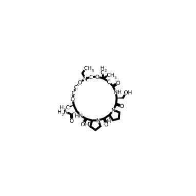 CCN1COC(C)(C)CC(=O)N[C@@H](CO)C(=O)N2CCC[C@H]2C(=O)N2CCC[C@H]2C(=O)N[C@H](C(N)=O)[C@@H](C)OCCO1